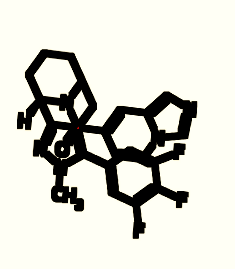 Cn1nc2c(c1-c1cc(F)c(F)c(F)c1)CC1CCC[C@@H]2N1C(=O)c1ccn2cncc2c1